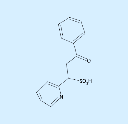 O=C(CC(c1ccccn1)S(=O)(=O)O)c1ccccc1